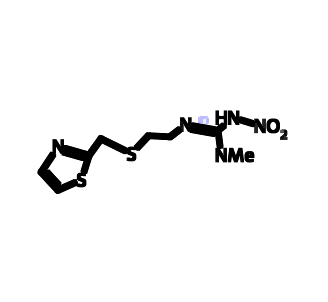 CN/C(=N\CCSCc1nccs1)N[N+](=O)[O-]